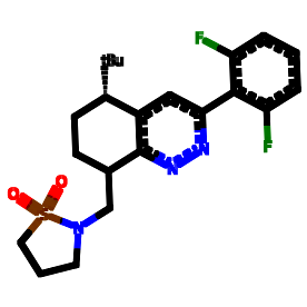 CC(C)(C)[C@H]1CCC(CN2CCCS2(=O)=O)c2nnc(-c3c(F)cccc3F)cc21